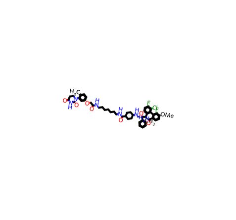 COc1ccc(C(N)=O)c(-c2c(Cl)c(F)cc3c2[C@H](C)[C@@](CNC2CCC(C(=O)NCCCCCCCNC(=O)COc4ccc(C)c(N5CCC(=O)NC5=O)c4)CC2)(c2ccccc2)O3)c1F